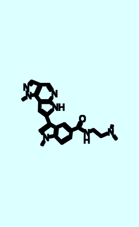 CN(C)CCNC(=O)c1ccc2c(c1)c(-c1cc3c(ncc4cnn(C)c43)[nH]1)cn2C